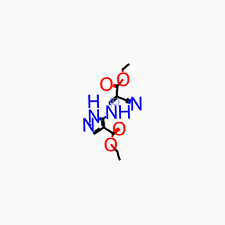 CCOC(=O)/C(C#N)=C/Nc1[nH]ncc1C(=O)OCC